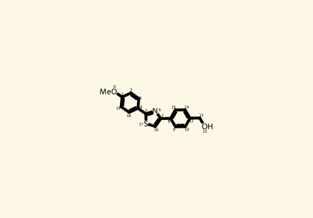 COc1ccc(-c2nc(-c3ccc(CO)cc3)cs2)cc1